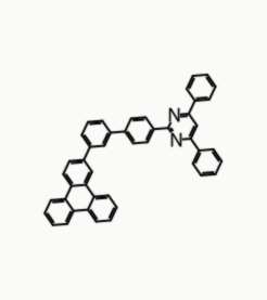 c1ccc(-c2cc(-c3ccccc3)nc(-c3ccc(-c4cccc(-c5ccc6c7ccccc7c7ccccc7c6c5)c4)cc3)n2)cc1